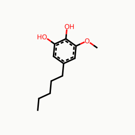 CCCCCc1cc(O)c(O)c(OC)c1